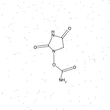 NC(=O)ON1CC(=O)NC1=O